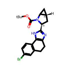 CC(C)(C)OC(=O)N1C2C[C@@H]2C[C@H]1c1nc2c([nH]1)-c1ccc(Br)cc1CC2